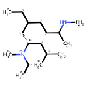 CCC(CCC(C)NC)C[C@H](CC(C)C)N(C)CC